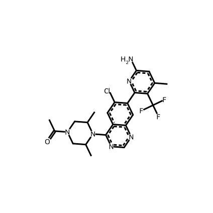 CC(=O)N1CC(C)N(c2ncnc3cc(-c4nc(N)cc(C)c4C(F)(F)F)c(Cl)cc23)C(C)C1